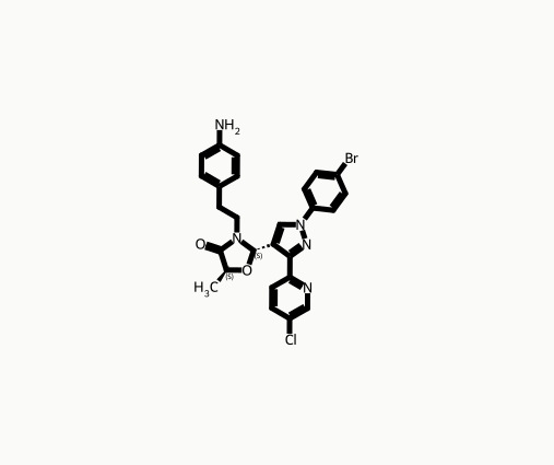 C[C@@H]1O[C@@H](c2cn(-c3ccc(Br)cc3)nc2-c2ccc(Cl)cn2)N(CCc2ccc(N)cc2)C1=O